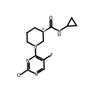 O=C(NC1CC1)[C@@H]1CCCN(c2nc(Cl)ncc2F)C1